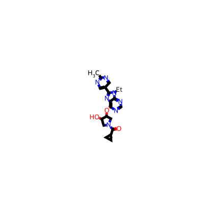 CCn1c(-c2cnc(C)nc2)nc2c(OC3CN(C(=O)C4CC4)CC3O)ncnc21